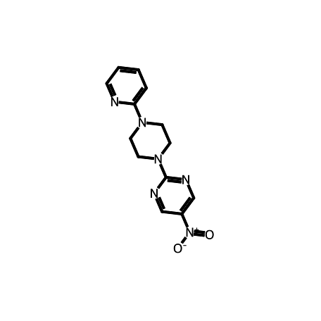 O=[N+]([O-])c1cnc(N2CCN(c3ccccn3)CC2)nc1